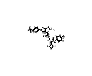 COc1nn(-c2ccc(C(F)(F)F)nc2)cc1CC(=O)NC[C@@H](C1CCC1)S(=O)(=O)c1ccc(F)cc1